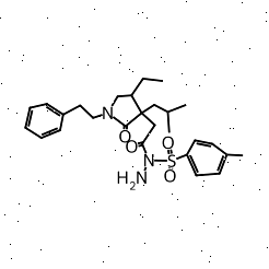 CCC1CN(CCc2ccccc2)C(=O)C1(CC(=O)N(N)S(=O)(=O)c1ccc(C)cc1)CC(C)C